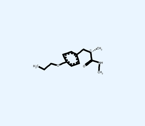 CCCOc1ccc(C[C@H](C)C(=O)NC)cc1